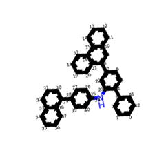 c1ccc(-c2ccc(-c3cc4ccccc4c4ccccc34)cc2Nc2ccc(-c3cccc4ccccc34)cc2)cc1